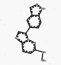 CCCCNc1ccc2ncc(-c3ccc4[nH]ncc4c3)n2n1